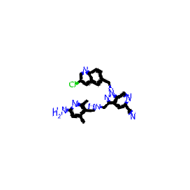 Cc1cc(N)nc(C)c1CNCc1nn(Cc2ccc3ncc(Cl)cc3c2)c2cnc(C#N)cc12